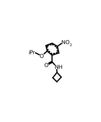 CC(C)Oc1ccc([N+](=O)[O-])cc1C(=O)NC1CCC1